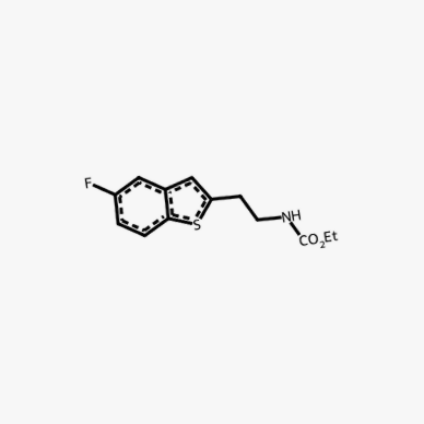 CCOC(=O)NCCc1cc2cc(F)ccc2s1